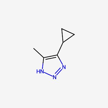 Cc1[nH]nnc1C1CC1